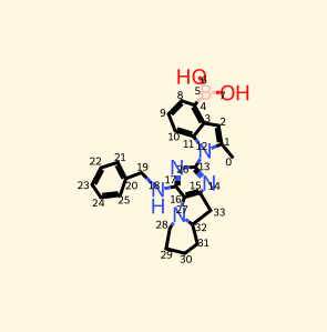 Cc1cc2c(B(O)O)cccc2n1-c1nc2c(c(NCc3ccccc3)n1)N1CCCCC1C2